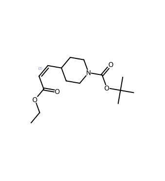 CCOC(=O)/C=C\C1CCN(C(=O)OC(C)(C)C)CC1